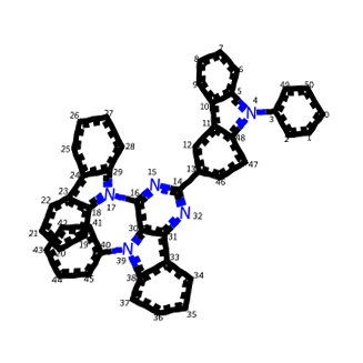 c1ccc(-n2c3ccccc3c3cc(-c4nc(-n5c6ccccc6c6ccccc65)c5c(n4)c4ccccc4n5-c4ccccc4)ccc32)cc1